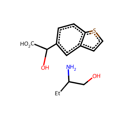 CCC(N)CO.O=C(O)C(O)c1ccc2sccc2c1